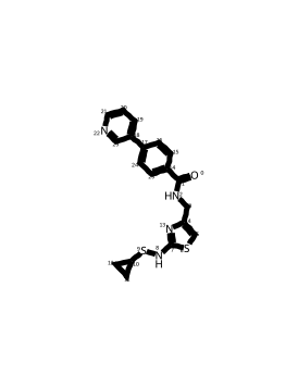 O=C(NCc1csc(NSC2CC2)n1)c1ccc(-c2cccnc2)cc1